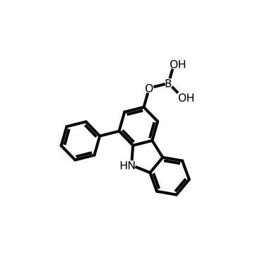 OB(O)Oc1cc(-c2ccccc2)c2[nH]c3ccccc3c2c1